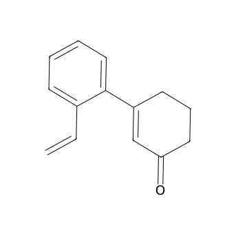 C=Cc1ccccc1C1=CC(=O)CCC1